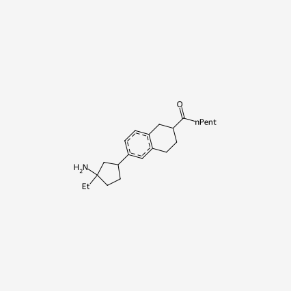 CCCCCC(=O)C1CCc2cc(C3CCC(N)(CC)C3)ccc2C1